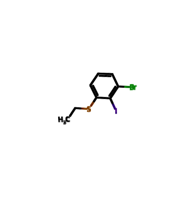 CCSc1cccc(Br)c1I